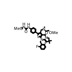 COCCN(C)Cc1c(-c2ccc(NC(=O)NOC)cc2)sc2c1C(=O)N1CC(C)(C)C=C1N2Cc1c(F)cccc1F